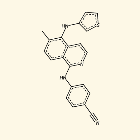 Cc1ccc2c(Nc3ccc(C#N)cc3)nccc2c1Nc1ccsc1